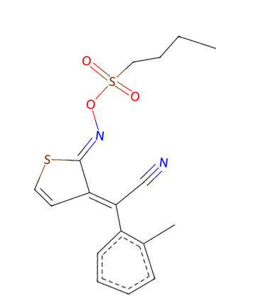 CCCCS(=O)(=O)O/N=C1\SC=C\C1=C(\C#N)c1ccccc1C